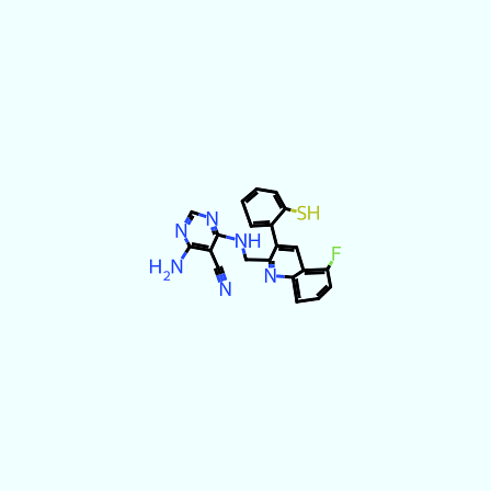 N#Cc1c(N)ncnc1NCc1nc2cccc(F)c2cc1-c1ccccc1S